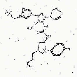 CCn1cc(-c2nn(C3C=CC=CC3)c(NC(=O)N[C@@H]3CN(CCOC)C[C@H]3c3ccc(F)cc3)c2C)cn1